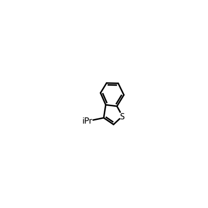 CC(C)c1csc2ccccc12